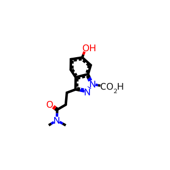 CN(C)C(=O)CCc1nn(C(=O)O)c2cc(O)ccc12